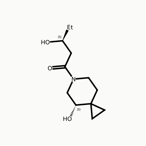 CC[C@H](O)CC(=O)N1CCC2(CC2)[C@H](O)C1